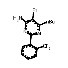 CCCCc1nc(-c2ccccc2C(F)(F)F)nc(N)c1CC